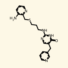 Nc1cccnc1CSCCCNc1ncc(Cc2cccnc2)c(=O)[nH]1